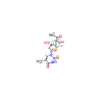 Cc1cn([C@H]2C[C@@](O)(F)[C@@](F)(C(O)(F)C(=O)C(C)(C)C)O2)c(=O)[nH]c1=O